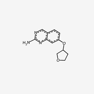 Nc1ncc2ccc(OC3CCOC3)cc2n1